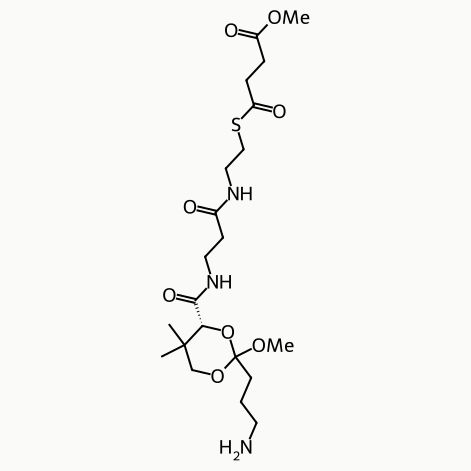 COC(=O)CCC(=O)SCCNC(=O)CCNC(=O)[C@@H]1OC(CCCN)(OC)OCC1(C)C